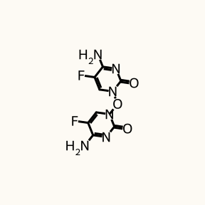 Nc1nc(=O)n(On2cc(F)c(N)nc2=O)cc1F